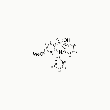 COc1ccc(C(C)(C)O)c(N(c2ccccc2)c2ccccc2)c1